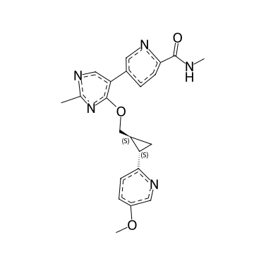 CNC(=O)c1ccc(-c2cnc(C)nc2OC[C@H]2C[C@@H]2c2ccc(OC)cn2)cn1